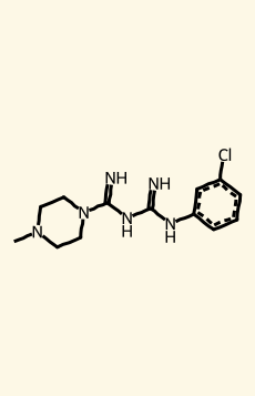 CN1CCN(C(=N)NC(=N)Nc2cccc(Cl)c2)CC1